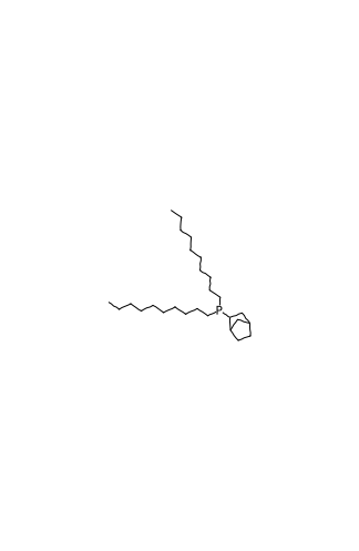 CCCCCCCCCCP(CCCCCCCCCC)C1CC2CCC1C2